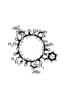 CCCC[C@@H](C)C[C@@H]1NC(=O)[C@H](Cc2ccccc2)N(C)C(=O)[C@H](CCC)NC(=O)[C@H](CC(C)C)N(C)C(=O)[C@H](C[C@H](C)CCCC)NC(=O)[C@@H](C)OC(=O)[C@H](C)N(C)C1=O